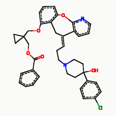 O=C(OCC1(COc2cccc3c2CC(=CCCN2CCC(O)(c4ccc(Cl)cc4)CC2)c2cccnc2O3)CC1)c1ccccc1